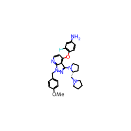 COc1ccc(Cn2nc(N3CCC[C@@H]3CN3CCCC3)c3c(Oc4ccc(N)cc4F)ccnc32)cc1